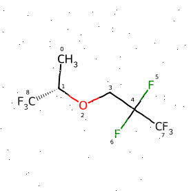 C[C@H](OCC(F)(F)C(F)(F)F)C(F)(F)F